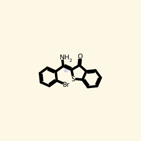 N/C(=C1/Sc2ccccc2C1=O)c1ccccc1Br